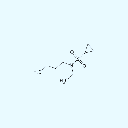 CCCCN(CC)S(=O)(=O)C1CC1